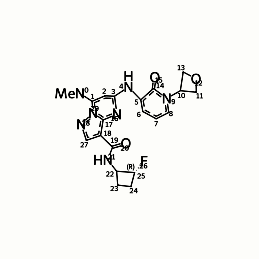 CNc1cc(Nc2cccn(C3COC3)c2=O)nc2c(C(=O)NC3CC[C@H]3F)cnn12